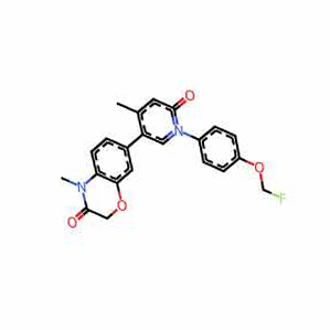 Cc1cc(=O)n(-c2ccc(OCF)cc2)cc1-c1ccc2c(c1)OCC(=O)N2C